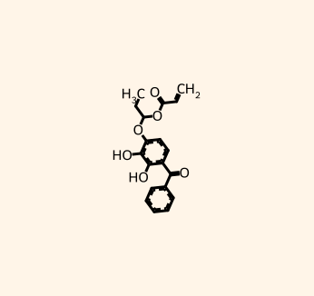 C=CC(=O)OC(CC)Oc1ccc(C(=O)c2ccccc2)c(O)c1O